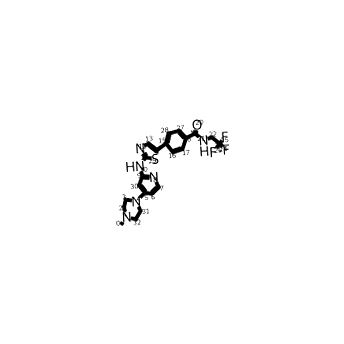 CN1CCN(c2ccnc(Nc3ncc(-c4ccc(C(=O)NCC(F)(F)F)cc4)s3)c2)CC1